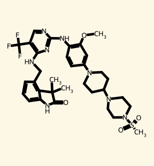 COc1cc(N2CCC(N3CCN(S(C)(=O)=O)CC3)CC2)ccc1Nc1ncc(C(F)(F)F)c(NCc2cccc3c2C(C)(C)C(=O)N3)n1